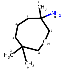 CC1(C)CCCC(C)(N)CCC1